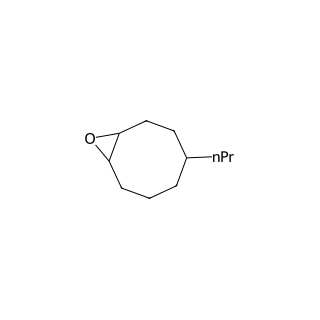 [CH2]CCC1CCCC2OC2CC1